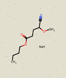 CCCCOC(=O)CCC(C#N)O[SiH3].[NaH]